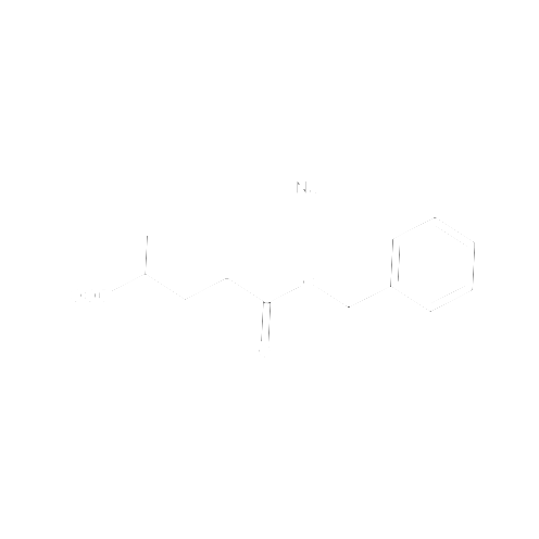 O=C(CCC(F)C(=O)[O-])OCc1ccccc1.[Na+]